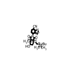 CC(C)(C)[Si](C)(C)OCC[C@]12C[C@H](O)[C@](C)(O1)[C@@H]1C(=O)N(c3ccc(C#N)c4nsnc34)C(=O)[C@@H]12